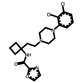 O=C(NC1(CCN2CCN(c3cccc(Cl)c3Cl)CC2)CCC1)c1ncco1